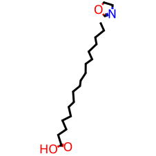 C1=NCCO1.CCCCCCCCCCCCCCCCCC(=O)O